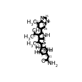 Cc1c([C@H]2C[C@H]3CC[C@@H]2CN3CC(N)=O)sc2[nH]c(-c3cc(C)c4ncnn4c3)c(C(C)C)c12